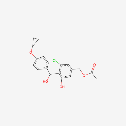 CC(=O)OCc1cc(O)c(C(O)c2ccc(OC3CC3)cc2)c(Cl)c1